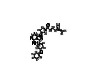 Nc1ncnc2c1c(-c1ccc(Oc3ccccc3)cc1)nn2C1CCN(C(=O)C=CCNC2CC2)C1